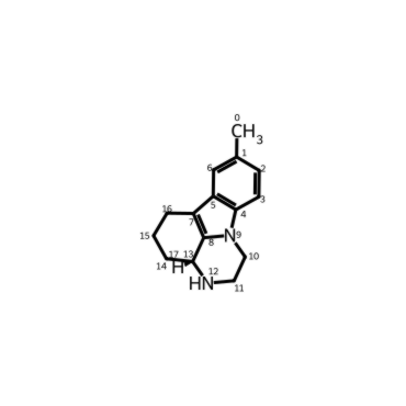 Cc1ccc2c(c1)c1c3n2CCN[C@@H]3CCC1